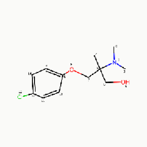 CN(C)C(C)(CO)COc1ccc(Cl)cc1